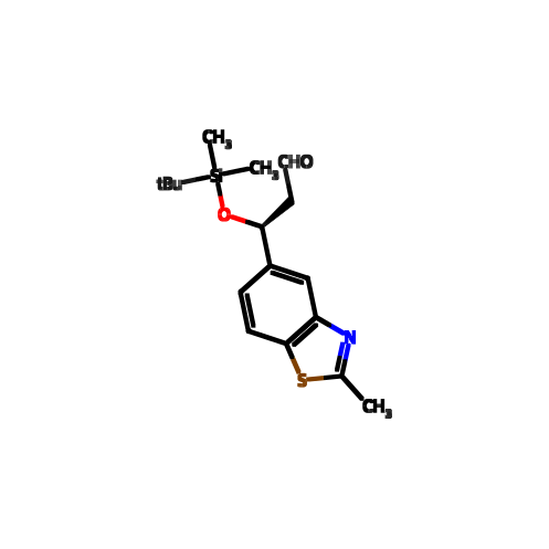 Cc1nc2cc([C@H](CC=O)O[Si](C)(C)C(C)(C)C)ccc2s1